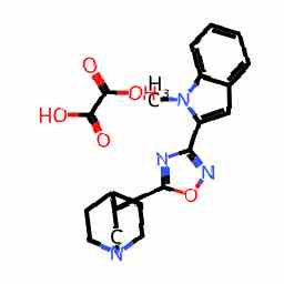 Cn1c(-c2noc(C3CN4CCC3CC4)n2)cc2ccccc21.O=C(O)C(=O)O